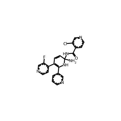 NC1(NC(=O)c2ccncc2Cl)C=CC(c2ccncc2F)=C(c2cccnc2)N1